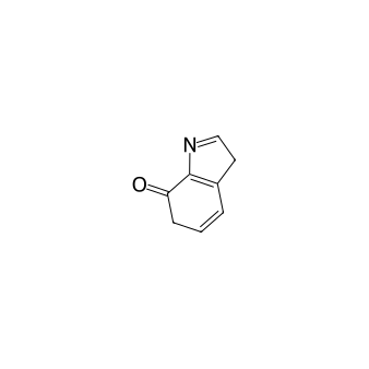 O=C1CC=CC2=C1N=CC2